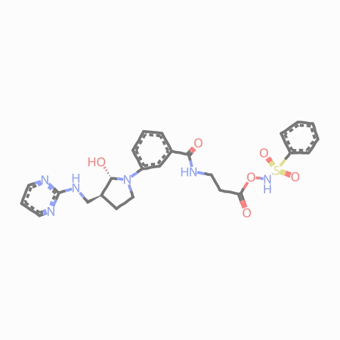 O=C(CCNC(=O)c1cccc(N2CC[C@@H](CNc3ncccn3)[C@@H]2O)c1)ONS(=O)(=O)c1ccccc1